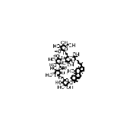 C[C@H](CC[C@@H](O[C@@H]1O[C@H](CO[C@@H]2O[C@H](CO)[C@@H](O)[C@H](O)[C@H]2O)[C@@H](O[C@H]2O[C@@H](CO)[C@H](O)[C@@H](O)[C@@H]2O)[C@H](O)[C@H]1O)C(C)(C)O)C1CC[C@@]2(C)C3CC=C4C(CC[C@H](O[C@@H]5O[C@H](CO[C@@H]6O[C@H](CO)[C@@H](O)[C@H](O)[C@H]6O)[C@@H](O)[C@H](O)[C@H]5O)C4(C)C)[C@]3(C)[C@H](O)C[C@]12C